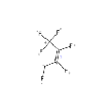 FC/C(F)=C(/F)C(F)(F)F